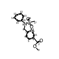 COC(=O)c1ccc(CN(c2ccccc2)S(C)(=O)=O)nc1